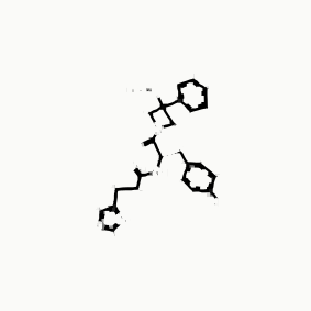 CCCCOC1(c2ccccc2)CN(C(=O)[C@@H](Cc2ccc(F)cc2)NC(=O)CCc2c[nH]cn2)C1